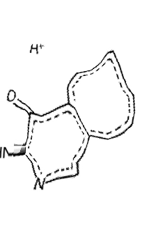 O=c1[nH]ncc2ccccc12.[H+]